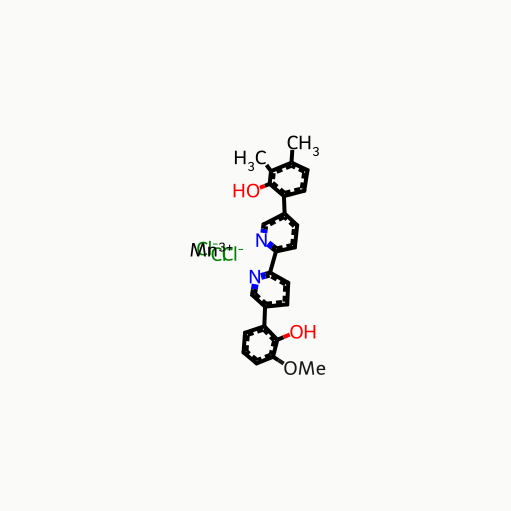 COc1cccc(-c2ccc(-c3ccc(-c4ccc(C)c(C)c4O)cn3)nc2)c1O.[Cl-].[Cl-].[Cl-].[Mn+3]